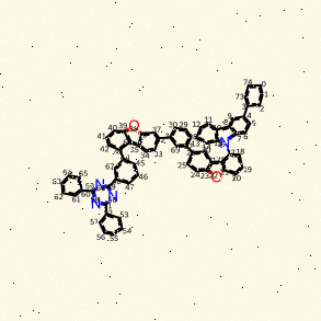 c1ccc(-c2ccc3c(c2)c2ccccc2n3-c2cccc3oc4ccc(-c5cccc(-c6ccc7c(c6)oc6cccc(-c8cccc(-c9nc(-c%10ccccc%10)nc(-c%10ccccc%10)n9)c8)c67)c5)cc4c23)cc1